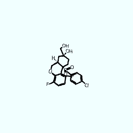 O=S(=O)(c1ccc(Cl)cc1)C12CC[C@@](O)(CO)C[C@@H]1COc1c(F)ccc(F)c12